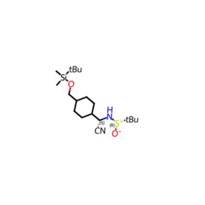 CC(C)(C)[S@+]([O-])N[C@H](C#N)C1CCC(CO[Si](C)(C)C(C)(C)C)CC1